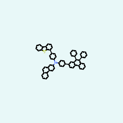 c1ccc(-c2c(-c3ccccc3)c3cc(-c4ccc(N(c5ccc(-c6cccc7c6sc6ccccc67)cc5)c5ccc6c(ccc7ccccc76)c5)cc4)ccc3c3ccccc23)cc1